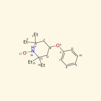 CCC1(CC)CC(Oc2ccccc2)CC(CC)(CC)[NH+]1[O-]